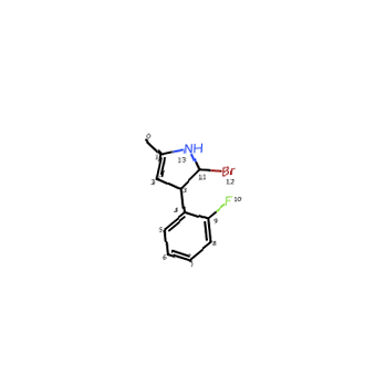 CC1=CC(c2ccccc2F)C(Br)N1